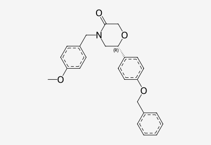 COc1ccc(CN2C[C@@H](c3ccc(OCc4ccccc4)cc3)OCC2=O)cc1